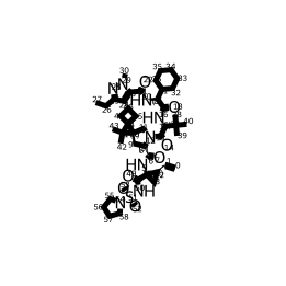 C=C[C@@H]1C[C@]1(NC(=O)[C@@H]1C[C@@]2(CN1C(=O)[C@@H](NC(=O)[C@@H](NC(=O)c1cc(CC)nn1C)C1CCCCC1)C(C)(C)C)C(C)(C)C21CCC1)C(=O)NS(=O)(=O)N1CCCC1